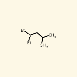 CCN(CC)CC(C)[SiH2]